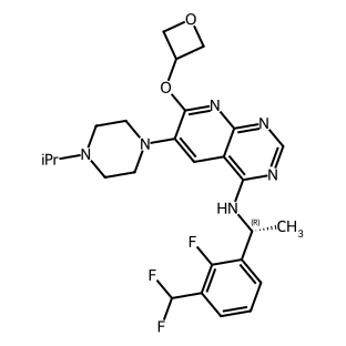 CC(C)N1CCN(c2cc3c(N[C@H](C)c4cccc(C(F)F)c4F)ncnc3nc2OC2COC2)CC1